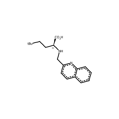 CC(C)(C)CC[C@H](NCc1ccc2ccccc2n1)C(=O)O